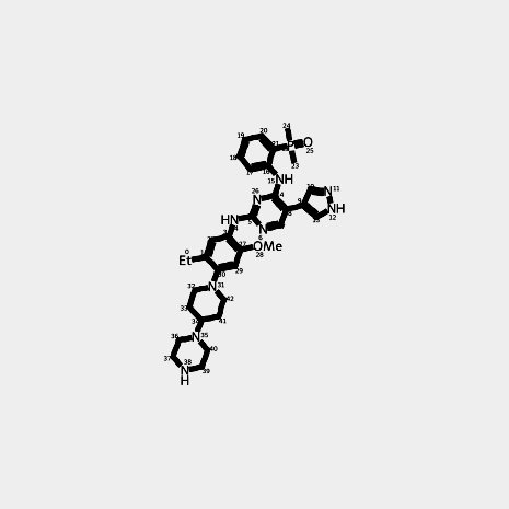 CCc1cc(Nc2ncc(-c3cn[nH]c3)c(Nc3ccccc3P(C)(C)=O)n2)c(OC)cc1N1CCC(N2CCNCC2)CC1